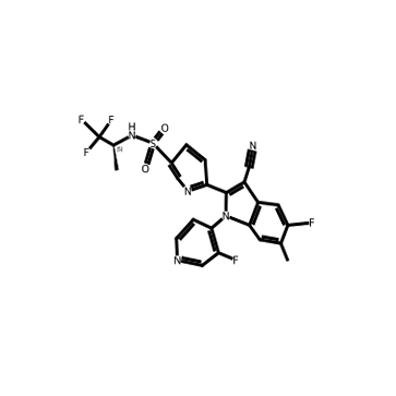 Cc1cc2c(cc1F)c(C#N)c(-c1ccc(S(=O)(=O)N[C@@H](C)C(F)(F)F)cn1)n2-c1ccncc1F